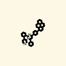 c1ccc(-c2cc(-c3ccc(-c4ccc5ccc6cccc7ccc4c5c67)cc3)nc(-c3ccccc3-c3ccncc3)n2)cc1